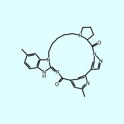 Cc1ccc2c(c1)N1CCCCCN3CCCC3C(=O)n3cc(cn3)-c3cc(cc(C)n3)C(=O)/N=C/1N2